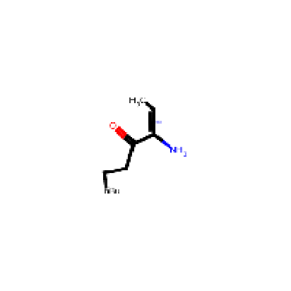 C/C=C(/N)C(=O)CCCCCC